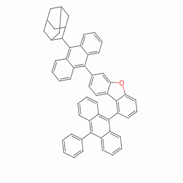 c1ccc(-c2c3ccccc3c(-c3cccc4oc5cc(-c6c7ccccc7c(C7C8CC9CC(C8)CC7C9)c7ccccc67)ccc5c34)c3ccccc23)cc1